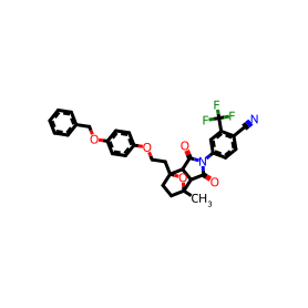 CC12CCC(CCOc3ccc(OCc4ccccc4)cc3)(O1)C1C(=O)N(c3ccc(C#N)c(C(F)(F)F)c3)C(=O)C12